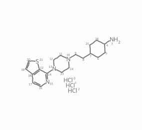 Cl.Cl.Cl.NC1CCC(CCN2CCN(c3nccc4ccsc34)CC2)CC1